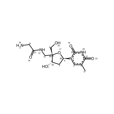 Cc1cn([C@H]2C[C@H](O)[C@](CO)(CNC(=O)CN)O2)c(=O)[nH]c1=O